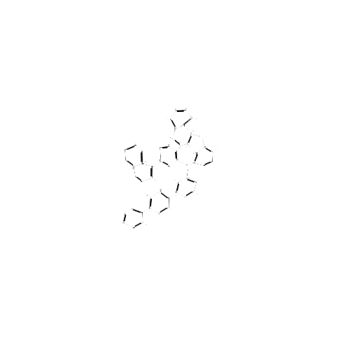 c1ccc(-c2ccc(-c3cccc(N(c4cccc(-c5cccc6ccccc56)c4)c4cccc5oc6c7ccccc7ncc6c45)c3)cc2)cc1